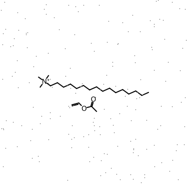 C=COC(C)=O.CCCCCCCCCCCCCCCC[N+](C)(C)C